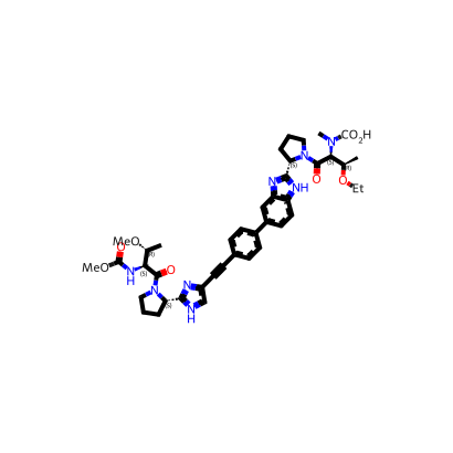 CCO[C@H](C)[C@@H](C(=O)N1CCC[C@H]1c1nc2cc(-c3ccc(C#Cc4c[nH]c([C@@H]5CCCN5C(=O)[C@@H](NC(=O)OC)[C@@H](C)OC)n4)cc3)ccc2[nH]1)N(C)C(=O)O